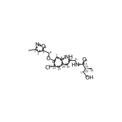 Cc1cc(COc2cc3[nH]c(CNC(=O)[C@@H](C)CO)cc3cc2Cl)on1